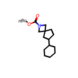 CCCCOC(=O)N1CC2(CCC(C3CCCCC3)C2)C1